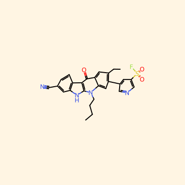 CCCCn1c2cc(-c3cncc(S(=O)(=O)F)c3)c(CC)cc2c(=O)c2c3ccc(C#N)cc3[nH]c21